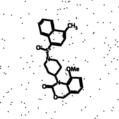 COc1cccc2c1N(C1CCN([S+]([O-])c3ccc(C)c4ccccc34)CC1)C(=O)OC2